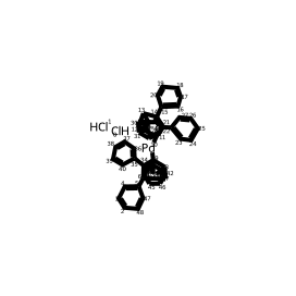 Cl.Cl.c1ccc([C]23[CH]4[CH]5[C]6([Pd][C]78[CH]9[CH]%10[C]%11(c%12ccccc%12)[C]7(c7ccccc7)[Fe]9%108%117%12%13%14[CH]8[CH]7[CH]%12[CH]%13[CH]8%14)[C]2(c2ccccc2)[Fe]54632789[CH]3[CH]2[CH]7[CH]8[CH]39)cc1